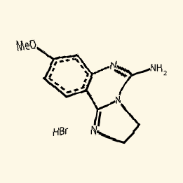 Br.COc1ccc2c(c1)N=C(N)N1CCN=C21